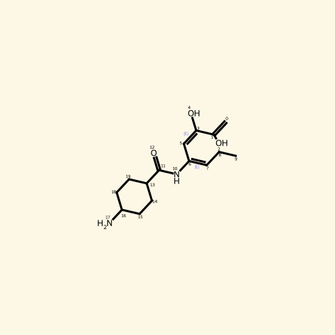 C=C(O)/C(O)=C\C(=C/CC)NC(=O)C1CCC(N)CC1